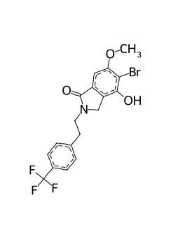 COc1cc2c(c(O)c1Br)CN(CCc1ccc(C(F)(F)F)cc1)C2=O